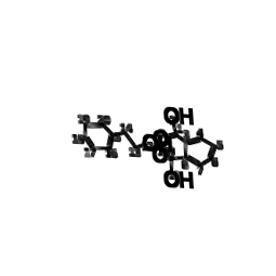 O=C(O)c1ccccc1C(=O)O.OCCc1ccccc1